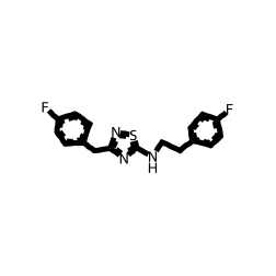 Fc1ccc(CCNc2nc(Cc3ccc(F)cc3)ns2)cc1